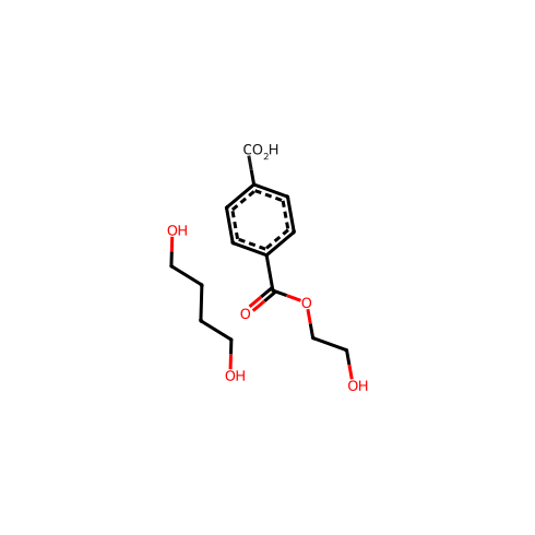 O=C(O)c1ccc(C(=O)OCCO)cc1.OCCCCO